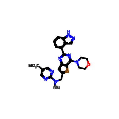 CCCCN(Cc1cc2nc(-c3cccc4[nH]ncc34)nc(N3CCOCC3)c2s1)c1ncc(C(=O)OCC)cn1